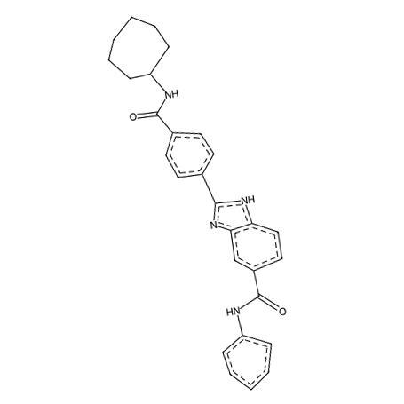 O=C(Nc1ccccc1)c1ccc2[nH]c(-c3ccc(C(=O)NC4CCCCCC4)cc3)nc2c1